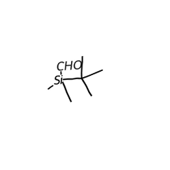 CC(C)(C)[Si](C)(C)C=O